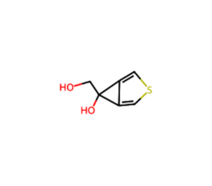 OCC1(O)c2cscc21